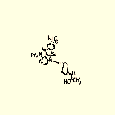 COc1ccc(Br)c(Sc2nc3c(N)nccc3n2CCC2CCN(C(=O)[C@H](C)O)CC2)c1